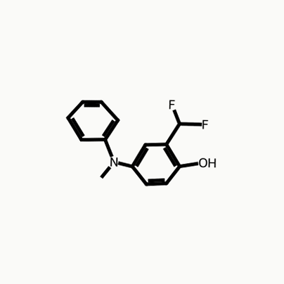 CN(c1ccccc1)c1ccc(O)c(C(F)F)c1